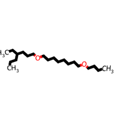 CCCCOCCCCCCCCOCCCC(CC)CCC